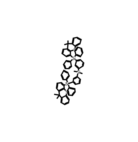 CC1(C)c2ccccc2Sc2c1cccc2[Si](c1ccccc1)(c1ccccc1)c1cccc([Si](C)(C)c2cccc([Si](c3ccccc3)(c3ccccc3)c3cccc4c3Sc3ccccc3C4(C)C)c2)c1